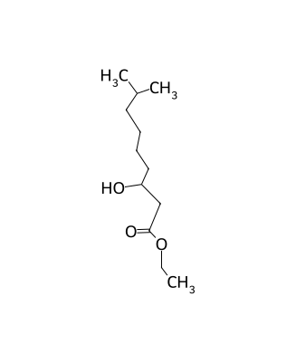 CCOC(=O)CC(O)CCCCC(C)C